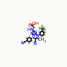 CC1=C(C#N)[C@@H](c2ccc(C#N)cc2)n2nc(NCC(=O)O)nc2N1c1cccc(C(F)(F)F)c1